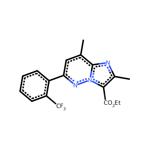 CCOC(=O)c1c(C)nc2c(C)cc(-c3ccccc3C(F)(F)F)nn12